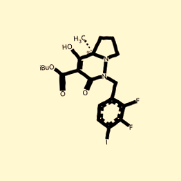 CC(C)COC(=O)C1=C(O)[C@@]2(C)CCCN2N(Cc2ccc(I)c(F)c2F)C1=O